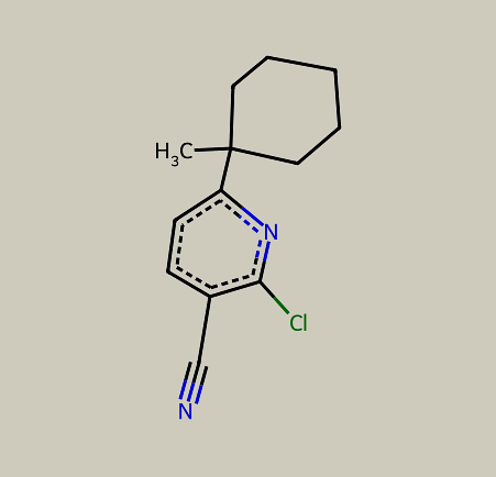 CC1(c2ccc(C#N)c(Cl)n2)CCCCC1